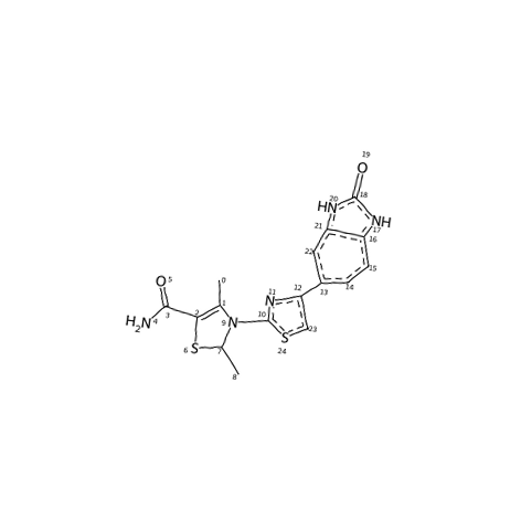 CC1=C(C(N)=O)SC(C)N1c1nc(-c2ccc3[nH]c(=O)[nH]c3c2)cs1